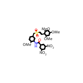 COc1cc(OC)c(C=CS(=O)(=O)Cc2ccc(OC)c(NC(=O)c3cc([N+](=O)[O-])cc([N+](=O)[O-])c3)c2)c(OC)c1